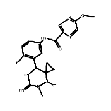 COc1cnc(C(=O)Nc2ccc(F)c(C3NC(=N)N(C)[S+]([O-])C34CC4)c2)cn1